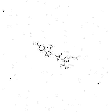 CCn1cc(NC(=O)CCc2onc(-c3ccc(O)cc3)c2C2CC2)c(C(=O)O)c1